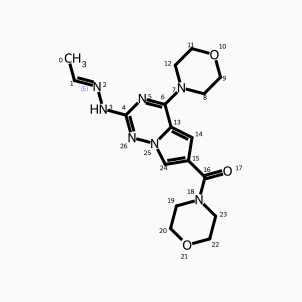 C/C=N/Nc1nc(N2CCOCC2)c2cc(C(=O)N3CCOCC3)cn2n1